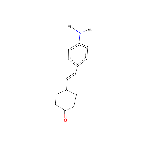 CCN(CC)c1ccc(C=CC2CCC(=O)CC2)cc1